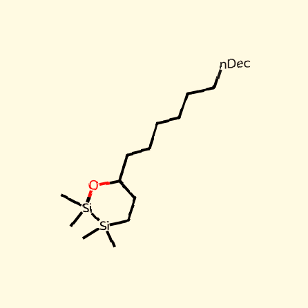 CCCCCCCCCCCCCCCCC1CC[Si](C)(C)[Si](C)(C)O1